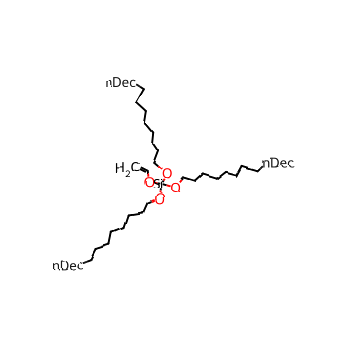 C=CO[Si](OCCCCCCCCCCCCCCCCCC)(OCCCCCCCCCCCCCCCCCC)OCCCCCCCCCCCCCCCCCC